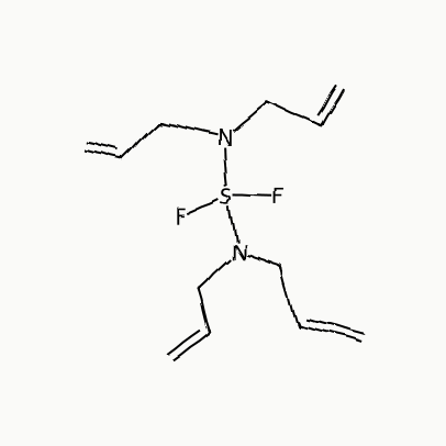 C=CCN(CC=C)S(F)(F)N(CC=C)CC=C